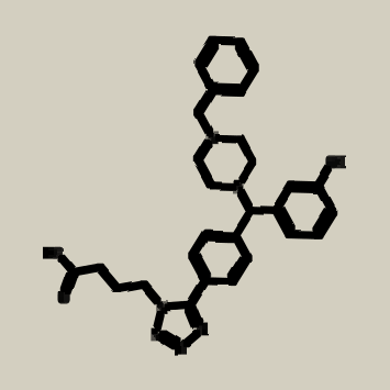 O=C(O)CCCn1nnnc1-c1ccc(C(c2cccc(O)c2)N2CCN(Cc3ccccc3)CC2)cc1